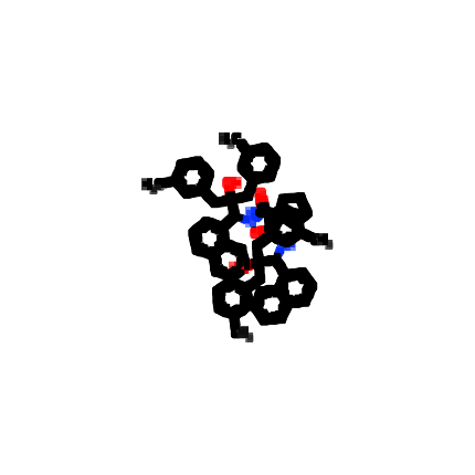 Cc1cccc(CC(O)(Cc2cccc(C)c2)[C@@H](NC(=O)C2(C(=O)N[C@@H](c3cccc4ccccc34)C(O)(Cc3cccc(C)c3)Cc3cccc(C)c3)CCCC2)c2cccc3ccccc23)c1